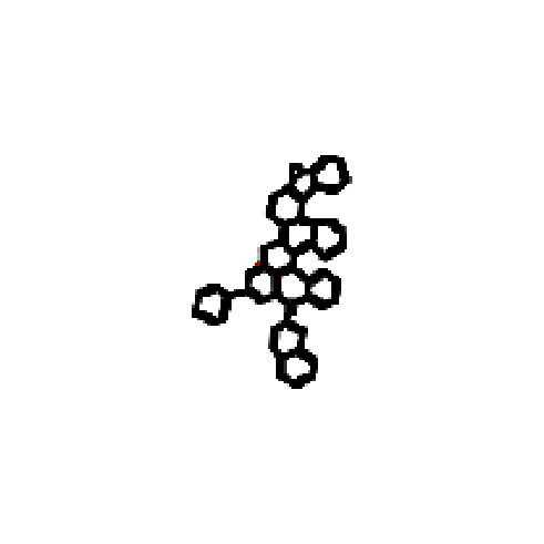 c1ccc(-c2cccc(N(c3ccc4ccccc4c3)c3ccccc3-c3cccc4c5ccc6oc7ccccc7c6c5c5ccccc5c34)c2)cc1